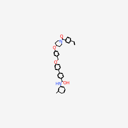 C=Cc1ccc(C(=O)N2CCC(Oc3ccc(COc4ccc(-c5ccc(C(O)NC6=CC=CCC(C)=C6)cc5)cc4)cc3)CC2)cc1